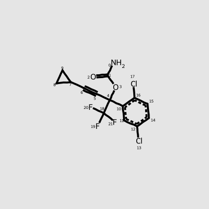 NC(=O)OC(C#CC1CC1)(c1cc(Cl)ccc1Cl)C(F)(F)F